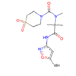 CN(C(=O)N1CCS(=O)(=O)CC1)C(C)(C)C(=O)Nc1cc(C(C)(C)C)on1